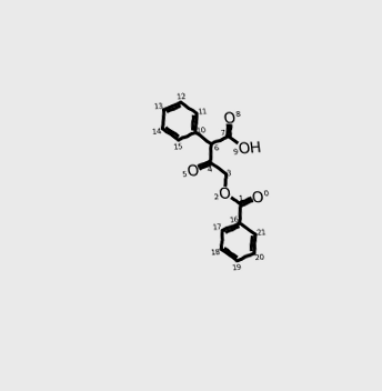 O=C(OCC(=O)C(C(=O)O)c1ccccc1)c1ccccc1